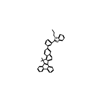 CCCn1c(-c2cccc(-c3ccc4c5c(ccc4c3)-c3c(c4ccccc4c4ccccc34)C5(C)C)c2)nc2ccccc21